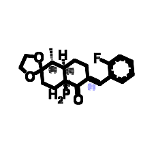 C[C@@H]1[C@H]2CC/C(=C\c3ccccc3F)C(=O)[C@]2(P)CCC12OCCO2